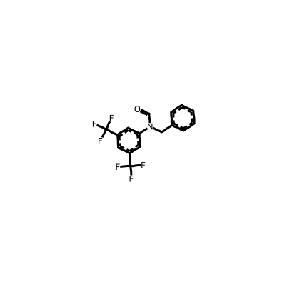 O=CN(Cc1ccccc1)c1cc(C(F)(F)F)cc(C(F)(F)F)c1